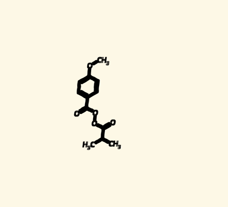 COc1ccc(C(=O)OOC(=O)C(C)C)cc1